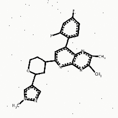 Cc1nc2nc(C3CCOC(c4cnn(C)c4)C3)cc(-c3ccc(F)cc3F)c2nc1C